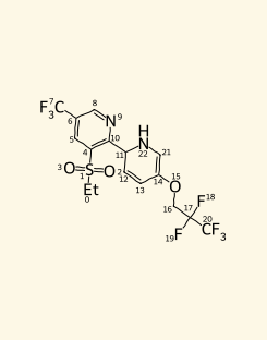 CCS(=O)(=O)c1cc(C(F)(F)F)cnc1C1C=CC(OCC(F)(F)C(F)(F)F)=CN1